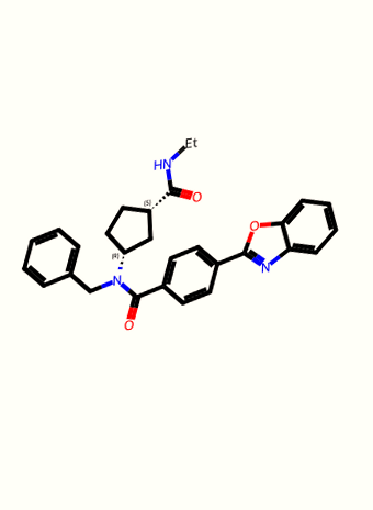 CCNC(=O)[C@H]1CC[C@@H](N(Cc2ccccc2)C(=O)c2ccc(-c3nc4ccccc4o3)cc2)C1